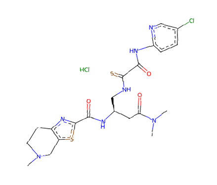 CN1CCc2nc(C(=O)N[C@@H](CNC(=S)C(=O)Nc3ccc(Cl)cn3)CC(=O)N(C)C)sc2C1.Cl